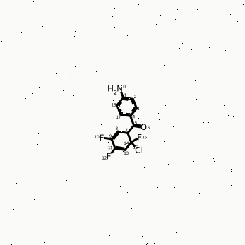 Nc1ccc(C(=O)C2C=C(F)C(F)=CC2(F)Cl)cc1